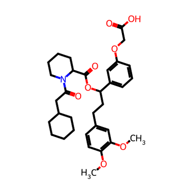 COc1ccc(CCC(OC(=O)C2CCCCN2C(=O)CC2CCCCC2)c2cccc(OCC(=O)O)c2)cc1OC